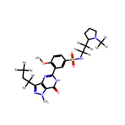 [2H]C([2H])([2H])CC([2H])([2H])c1nn(C)c2c(=O)[nH]c(-c3cc(S(=O)(=O)NC([2H])([2H])C([2H])([2H])C4CCCN4C([2H])([2H])[2H])ccc3OCCC)nc12